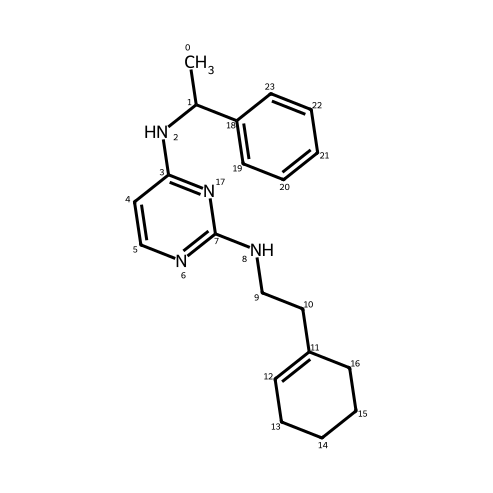 CC(Nc1ccnc(NCCC2=CCCCC2)n1)c1ccccc1